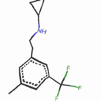 Cc1cc(CNC2CC2)cc(C(F)(F)F)c1